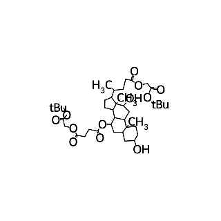 CC(CCC(=O)OCC(=O)OC(C)(C)C)C1CCC2C3C(OC(=O)CCC(=O)OCC(=O)OC(C)(C)C)CC4CC(O)CCC4(C)C3CC(O)C12C